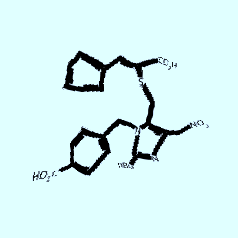 CCCCc1nc([N+](=O)[O-])c(CSC(=Cc2ccccc2)C(=O)O)n1Cc1ccc(C(=O)O)cc1